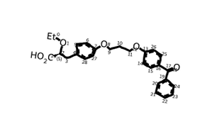 CCO[C@@H](Cc1ccc(OCCCOc2ccc(C(=O)c3ccccc3)cc2)cc1)C(=O)O